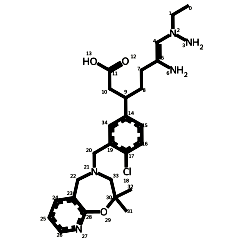 CCN(N)/C=C(\N)CCC(CC(=O)O)c1ccc(Cl)c(CN2Cc3cccnc3OC(C)(C)C2)c1